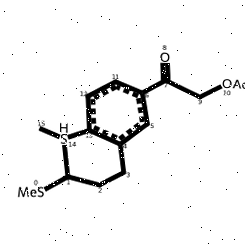 CSC1CCc2cc(C(=O)COC(C)=O)ccc2[SH]1C